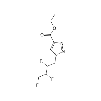 CCOC(=O)c1cn(CC(F)C(F)CF)nn1